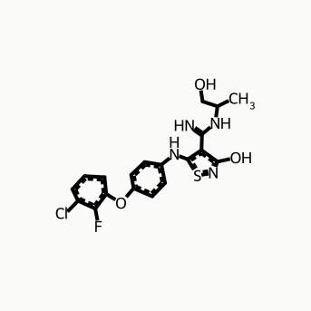 CC(CO)NC(=N)c1c(O)nsc1Nc1ccc(Oc2cccc(Cl)c2F)cc1